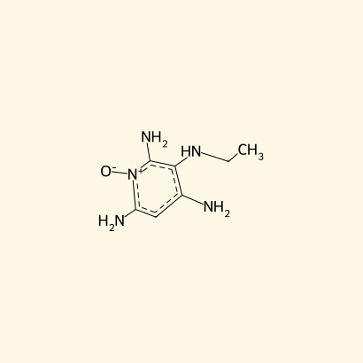 CCNc1c(N)cc(N)[n+]([O-])c1N